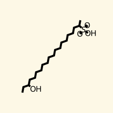 CCC(O)CCCCCCCCCCCCCCCC(C)S(=O)(=O)O